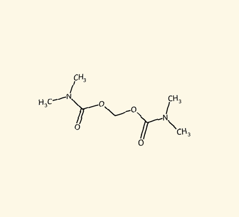 CN(C)C(=O)OCOC(=O)N(C)C